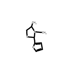 CC1CSC(c2ccco2)N1C